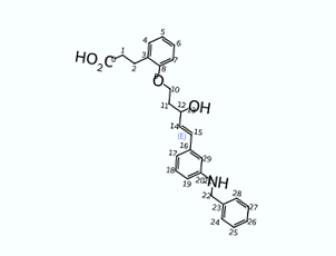 O=C(O)CCc1ccccc1OCCC(O)/C=C/c1cccc(NCc2ccccc2)c1